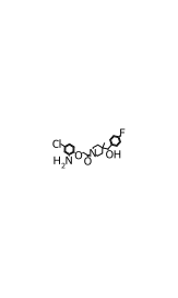 CC1(C(O)c2ccc(F)cc2)CCN(C(=O)COc2ccc(Cl)cc2N)CC1